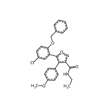 CCNC(=O)c1noc(-c2cc(Cl)ccc2OCc2ccccc2)c1-c1ccc(OC)cc1